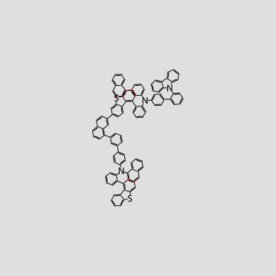 c1cc(-c2ccc(N(c3ccccc3-c3cccc4sc5ccccc5c34)c3cccc4ccccc34)cc2)cc(-c2cccc3ccc(-c4ccc5c(c4)sc4cccc(-c6ccccc6N(c6ccc(-c7ccccc7-n7c8ccccc8c8ccccc87)cc6)c6cccc(-c7cccc8ccccc78)c6)c45)cc23)c1